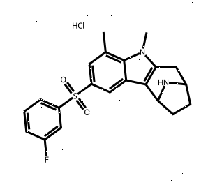 Cc1cc(S(=O)(=O)c2cccc(F)c2)cc2c3c(n(C)c12)CC1CCC3N1.Cl